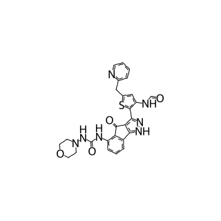 O=CNc1cc(Cc2ccccn2)sc1-c1n[nH]c2c1C(=O)c1c(NC(=O)NN3CCOCC3)cccc1-2